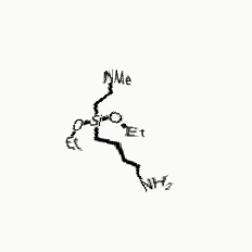 CCO[Si](CCCCN)(CCNC)OCC